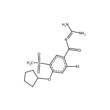 CCc1cc(OC2CCCC2)c(S(C)(=O)=O)cc1C(=O)N=C(N)N